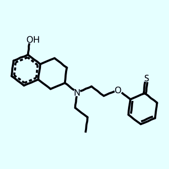 CCCN(CCOC1=CC=CCC1=S)C1CCc2c(O)cccc2C1